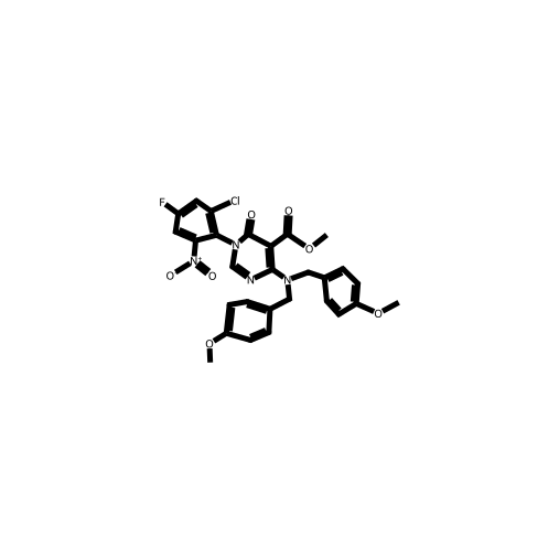 COC(=O)c1c(N(Cc2ccc(OC)cc2)Cc2ccc(OC)cc2)ncn(-c2c(Cl)cc(F)cc2[N+](=O)[O-])c1=O